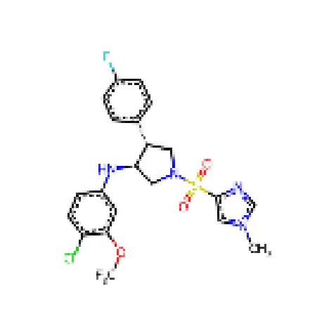 Cn1cnc(S(=O)(=O)N2C[C@@H](Nc3ccc(Cl)c(OC(F)(F)F)c3)[C@H](c3ccc(F)cc3)C2)c1